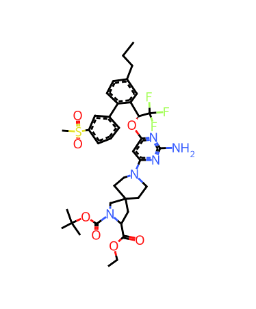 CCCc1ccc(-c2cccc(S(C)(=O)=O)c2)c([C@@H](Oc2cc(N3CCC4(CC3)CC(C(=O)OCC)N(C(=O)OC(C)(C)C)C4)nc(N)n2)C(F)(F)F)c1